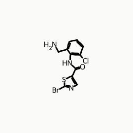 NCc1cccc(Cl)c1NC(=O)c1cnc(Br)s1